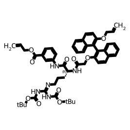 C=CCOC(=O)c1cccc(NC(=O)[C@@H](CCCN=C(NC(=O)OC(C)(C)C)NC(=O)OC(C)(C)C)NC(=O)COc2ccc3ccccc3c2-c2c(OCC=C)ccc3ccccc23)c1